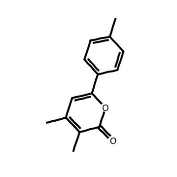 Cc1ccc(-c2cc(C)c(C)c(=O)o2)cc1